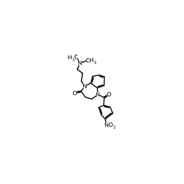 CN(C)CCCN1C(=O)CCN(C(=O)c2ccc([N+](=O)[O-])cc2)c2ccccc21